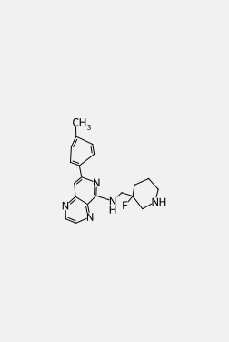 Cc1ccc(-c2cc3nccnc3c(NCC3(F)CCCNC3)n2)cc1